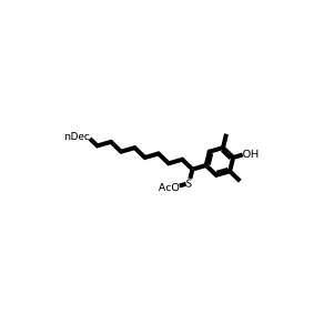 CCCCCCCCCCCCCCCCCCC(SOC(C)=O)c1cc(C)c(O)c(C)c1